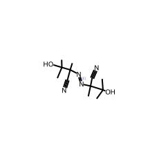 CC(C)(O)C(C)(C#N)/N=N/C(C)(C#N)C(C)(C)O